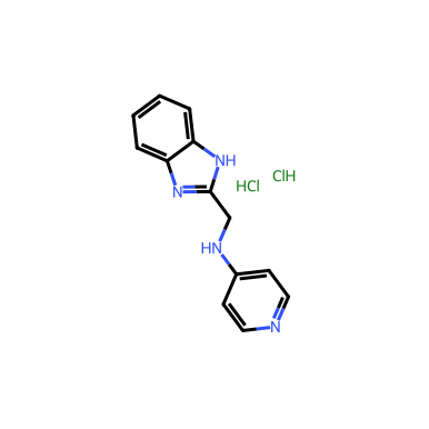 Cl.Cl.c1ccc2[nH]c(CNc3ccncc3)nc2c1